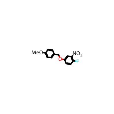 COc1ccc(COc2ccc(F)c([N+](=O)[O-])c2)cc1